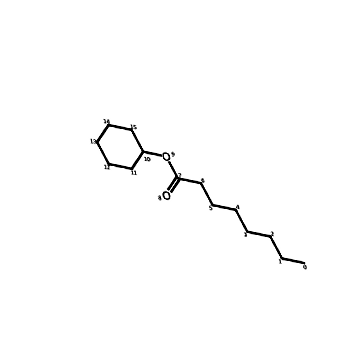 CCCCCCCC(=O)OC1CCCCC1